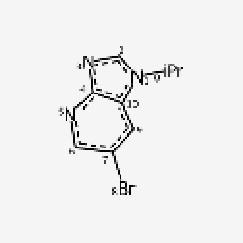 CC(C)n1cnc2ncc(Br)cc21